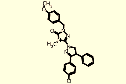 COc1ccc(Cn2nc(N3CC(c4ccccc4)C(c4ccc(Cl)cc4)=N3)n(C)c2=O)cc1